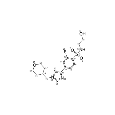 O=S(=O)(NCCO)c1ccc(-c2nnn(CC3CCOCC3)n2)cc1F